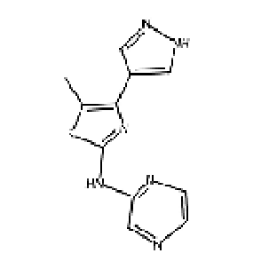 Cc1sc(Nc2cnccn2)nc1-c1cn[nH]c1